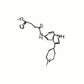 COC(=O)CCC(=O)Nc1ccc2[nH]cc(C3CCN(C)CC3)c2c1